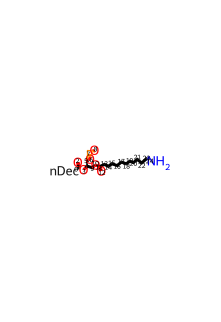 CCCCCCCCCCC(=O)O[C@@H](COP=O)COC(=O)CCCCCCCCCCCN